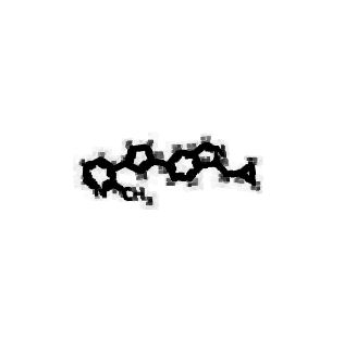 Cc1ncccc1C1=CCC(c2ccc3c(c2)C=NC3CC2CC2)=C1